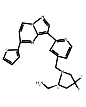 NC[C@@H]1CC(F)(F)CN1Cc1ccnc(-c2cnn3ccc(-c4cccs4)nc23)c1